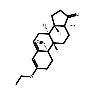 CCOC1=CC2=CC[C@@H]3[C@H](CC[C@]4(C)C(=O)CC[C@@H]34)[C@@]2(C=O)CC1